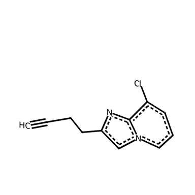 C#CCCc1cn2cccc(Cl)c2n1